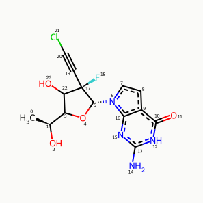 C[C@H](O)C1O[C@@H](n2ccc3c(=O)[nH]c(N)nc32)[C@@](F)(C#CCl)C1O